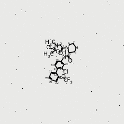 CN(CC(=O)N1CCCC[C@@H]1C(=O)Nc1ccc(-c2ccccc2OC(F)(F)F)c(Cl)c1)S(C)(=O)=O